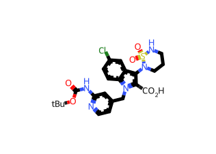 CC(C)(C)OC(=O)Nc1cc(Cn2c(C(=O)O)c(N3CCCNS3(=O)=O)c3cc(Cl)ccc32)ccn1